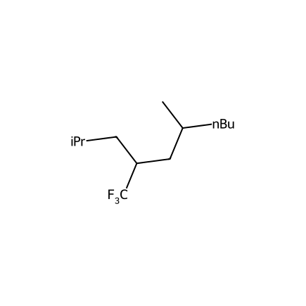 CCCCC(C)CC(CC(C)C)C(F)(F)F